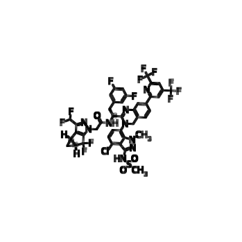 Cn1nc(NS(C)(=O)=O)c2c(Cl)ccc(N3Cc4ccc(-c5cc(C(F)(F)F)cc(C(F)(F)F)n5)cc4N=C3[C@H](Cc3cc(F)cc(F)c3)NC(=O)Cn3nc(C(F)F)c4c3C(F)(F)[C@@H]3C[C@H]43)c21